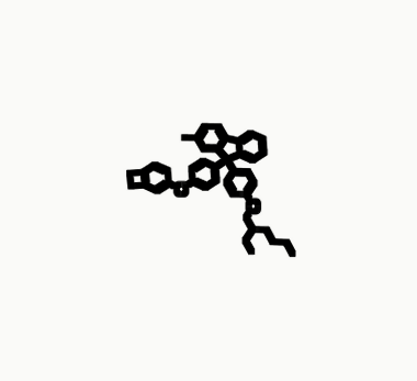 CCCCC(CC)COc1ccc(C2(c3ccc(Oc4ccc5c(c4)CC5)cc3)c3ccccc3-c3ccc(C)cc32)cc1